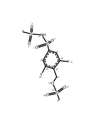 CS(=O)(=O)NS(=O)(=O)c1cc(F)c(COS(C)(=O)=O)c(F)c1